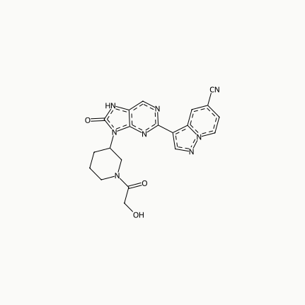 N#Cc1ccn2ncc(-c3ncc4[nH]c(=O)n(C5CCCN(C(=O)CO)C5)c4n3)c2c1